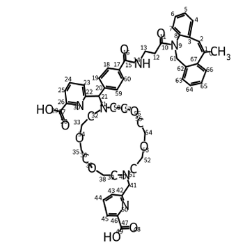 C/C1=C/c2ccccc2N(C(=O)CCNC(=O)c2ccc(C(c3cccc(C(=O)O)n3)N3CCOCCOCCN(Cc4cccc(C(=O)O)n4)CCOCCOCC3)cc2)Cc2ccccc21